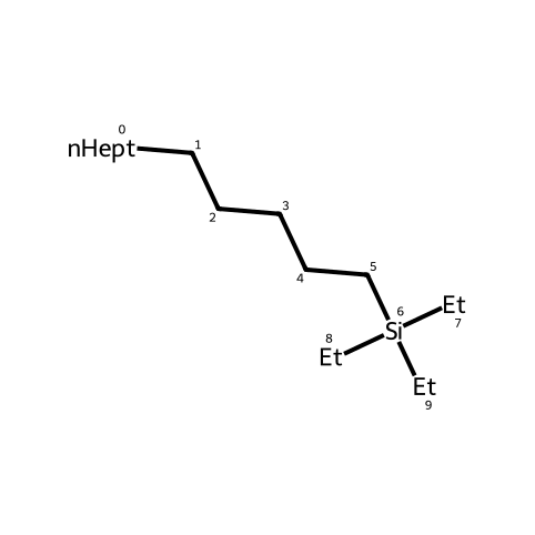 CCCCCCCCCCCC[Si](CC)(CC)CC